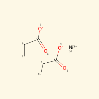 CCC(=O)[O-].CCC(=O)[O-].[Ni+2]